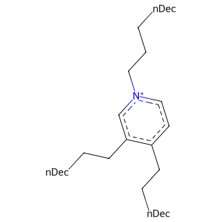 CCCCCCCCCCCCC[n+]1ccc(CCCCCCCCCCCC)c(CCCCCCCCCCCC)c1